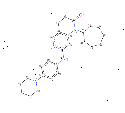 O=C1CCc2cnc(Nc3ccc(N4CCCCC4)cc3)cc2N1C1CCCCCC1